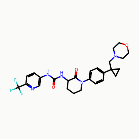 O=C(Nc1ccc(C(F)(F)F)nc1)NC1CCCN(c2ccc(C3(CN4CCOCC4)CC3)cc2)C1=O